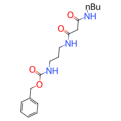 CCCCNC(=O)CC(=O)NCCCNC(=O)OCc1ccccc1